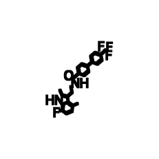 Cc1[nH]c2c(F)ccc(C)c2c1CCNC(=O)c1ccc(-c2ccc(C(F)(F)F)cc2)cc1